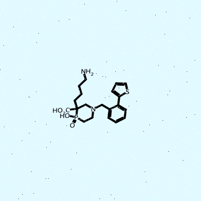 NCCCCC1(C(=O)O)CN(Cc2ccccc2-c2cccs2)CCP1(=O)O